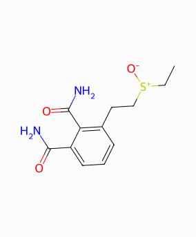 CC[S+]([O-])CCc1cccc(C(N)=O)c1C(N)=O